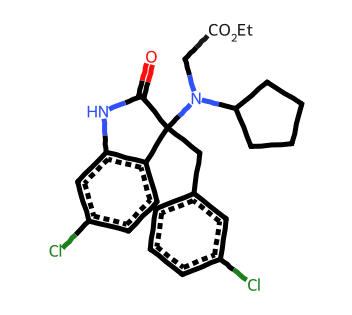 CCOC(=O)CN(C1CCCC1)C1(Cc2cccc(Cl)c2)C(=O)Nc2cc(Cl)ccc21